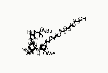 COc1nn(CCOCCOCCOCCOCCO)cc1Nc1nc(N2C[C@@H](F)[C@H](NC(=O)OC(C)(C)C)C2)nc2c1ncn2C